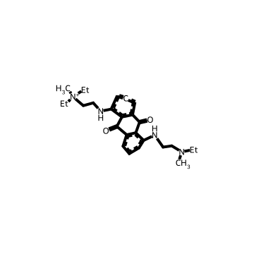 CCN(C)CCNc1cccc2c1C(=O)c1cccc(NCC[N+](C)(CC)CC)c1C2=O